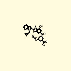 COC(=O)C1CC(N=[N+]=[N-])CN(C(=O)c2cc(OC)c3c(c2)nc(-c2cc4cccnc4n2CC2CC2)n3C)C1